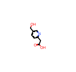 O=C(O)Cc1ccc(CO)cn1